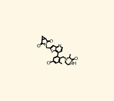 Cc1cc(Cl)cc(-c2ccnc3cc(CN4C(=O)C5CC5C4=O)sc23)c1CN1CCNC(=O)C1C